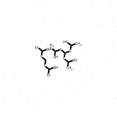 CC(S)SC(SC(C)S)SC(C)S.CCC(S)SCSC(S)CC